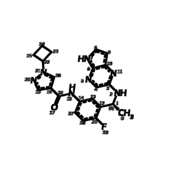 C[C@H](Nc1cnc2[nH]ccc2n1)c1cc(NC(=O)c2cnn(C3CCC3)c2)ccc1F